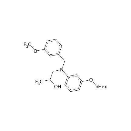 CCCCCCOc1cccc(N(Cc2cccc(OC(F)(F)F)c2)CC(O)C(F)(F)F)c1